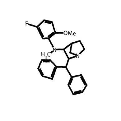 COc1ccc(F)cc1N(C)C1C2CCN(C2)C1C(c1ccccc1)c1ccccc1